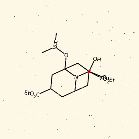 CCOC(=O)CN1C2CC(C(=O)OCC)CC1(O[SiH](C)C)CC(O)(C(C)(C)C)C2